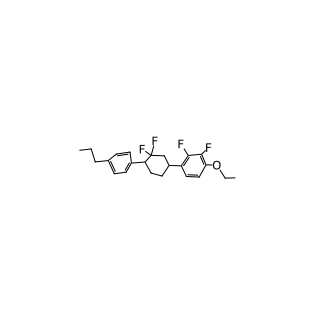 CCCc1ccc(C2CCC(c3ccc(OCC)c(F)c3F)CC2(F)F)cc1